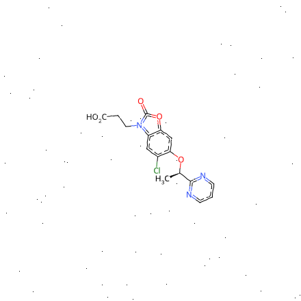 C[C@@H](Oc1cc2oc(=O)n(CCC(=O)O)c2cc1Cl)c1ncccn1